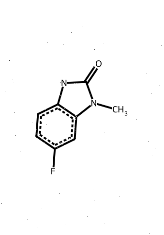 CN1C(=O)[N]c2ccc(F)cc21